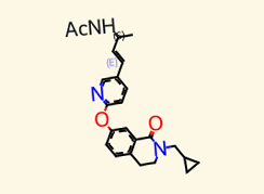 CC(=O)N[C@@H](C)/C=C/c1ccc(Oc2ccc3c(c2)C(=O)N(CC2CC2)CC3)nc1